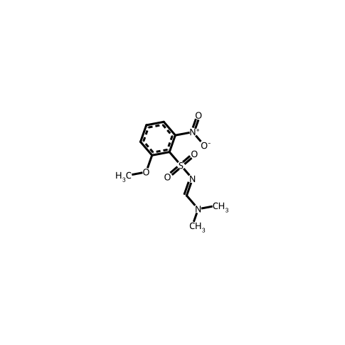 COc1cccc([N+](=O)[O-])c1S(=O)(=O)N=CN(C)C